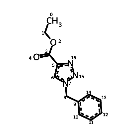 CCOC(=O)c1cn(Cc2ccccc2)nn1